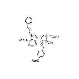 COC[C@H]1C[C@@H](c2cn(COCc3ccccc3)c3c(OC)ncnc23)[C@H](OCc2ccc(OC)cc2)[C@@H]1O